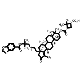 CC(C)C1=C2[C@H]3CC[C@@H]4[C@@]5(C)CC[C@H](OC(=O)[C@H]6C[C@@H](C(=O)O)C6(C)C)C(C)(C)[C@@H]5CC[C@@]4(C)[C@]3(C)CC[C@@]2(CCNCC(C)(C)NC(=O)c2ccc3c(c2)OCO3)CC1=O